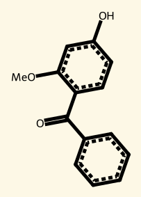 COc1cc(O)ccc1C(=O)c1ccccc1